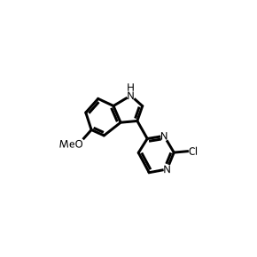 COc1ccc2[nH]cc(-c3ccnc(Cl)n3)c2c1